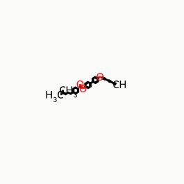 C#CC#CC#COc1ccc(-c2ccc(OC(=O)[C@H]3CC=C(CCC=C(C)C)CC3)cc2)cc1